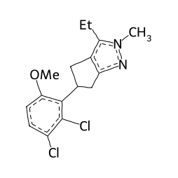 CCc1c2c(nn1C)CC(c1c(OC)ccc(Cl)c1Cl)C2